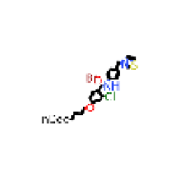 CCCCCCCCCCCCCCOc1ccc(C(=O)Nc2ccc(C[n+]3ccsc3)cc2)c(Cl)c1.[Br-]